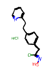 Cl.ON=C(Cl)Cc1ccc(CCc2ccccn2)cc1